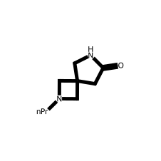 CCCN1CC2(CNC(=O)C2)C1